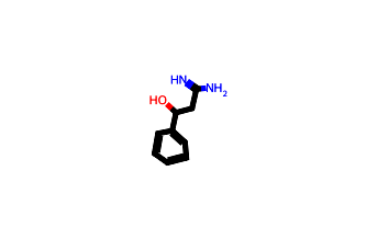 N=C(N)CC(O)c1ccccc1